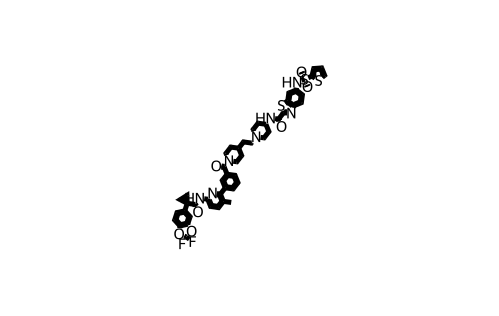 Cc1ccc(NC(=O)C2(c3ccc4c(c3)OC(F)(F)O4)CC2)nc1-c1cccc(C(=O)N2CCC(CCN3CCC(NC(=O)c4nc5ccc(NS(=O)(=O)c6cccs6)cc5s4)CC3)CC2)c1